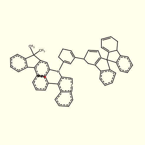 CC1(C)c2ccccc2-c2ccc(N(C3=CC(C4C=CC5=C(C4)c4ccccc4C54C5=CC=CCC5c5ccccc54)=CCC3)c3ccc4ccccc4c3-c3ccccc3)cc21